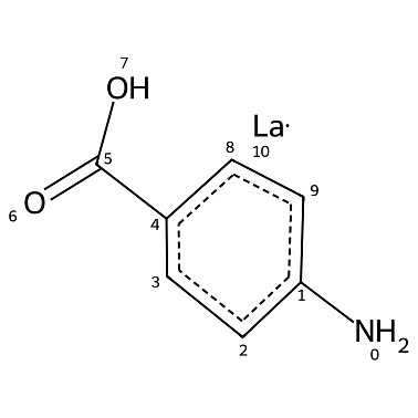 Nc1ccc(C(=O)O)cc1.[La]